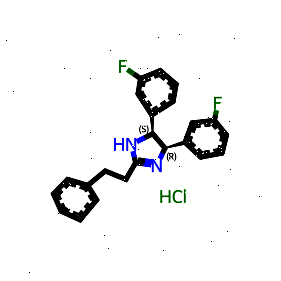 Cl.Fc1cccc([C@H]2N=C(CCc3ccccc3)N[C@H]2c2cccc(F)c2)c1